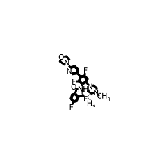 CC1CN(c2cc(F)c(-c3ccc(N4CCOCC4)nc3)c(F)c2NC(=O)c2ccc(F)cc2C(F)F)CCN1C